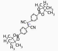 CC1(C)OB(c2ccc(/C(C#N)=C(\C#N)c3ccc(B4OC(C)(C)C(C)(C)O4)cc3)cc2)OC1(C)C